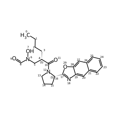 CCCC[C@@H](CN(O)C=O)C(=O)N1CCC[C@H]1c1nc2cc3ccccc3cc2o1